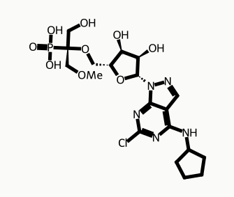 COC[C@@](CO)(OC[C@H]1O[C@@H](n2ncc3c(NC4CCCC4)nc(Cl)nc32)[C@H](O)[C@@H]1O)P(=O)(O)O